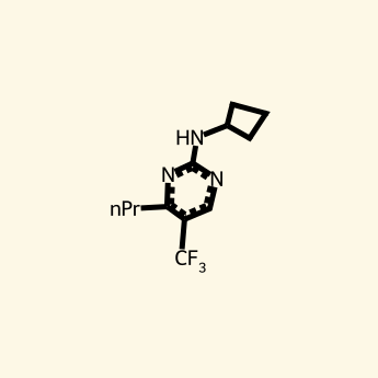 CCCc1nc(NC2CCC2)ncc1C(F)(F)F